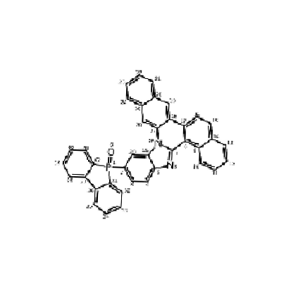 O=P1(c2ccc3nc4c5c6ccccc6ccc5c5cc6ccccc6cc5n4c3c2)c2ccccc2-c2ccccc21